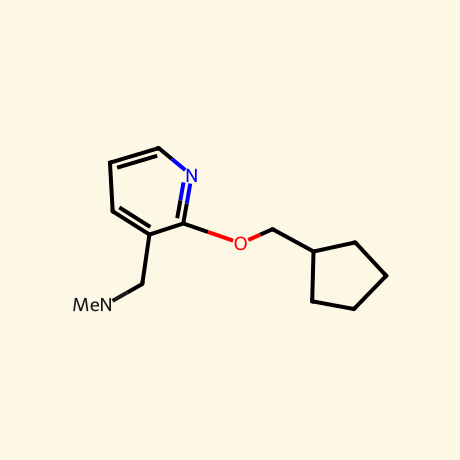 CNCc1cccnc1OCC1CCCC1